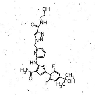 CC(C)(O)c1cc(F)c(-c2cc(C(N)=O)c(Nc3cccc(Cn4cc(C(=O)NCCO)nn4)n3)s2)c(F)c1